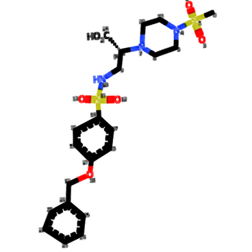 CS(=O)(=O)N1CCN([C@H](CNS(=O)(=O)c2ccc(OCc3ccccc3)cc2)C(=O)O)CC1